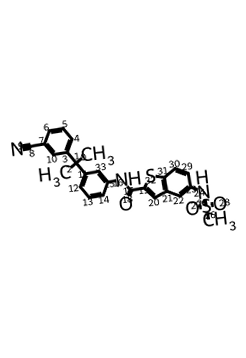 CC(C)(c1cccc(C#N)c1)c1cccc(NC(=O)c2cc3cc(NS(C)(=O)=O)ccc3s2)c1